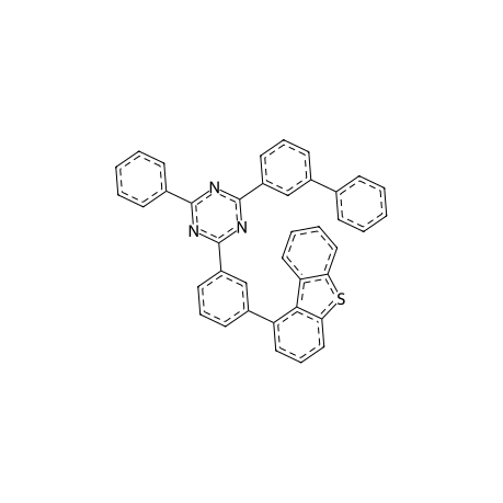 c1ccc(-c2cccc(-c3nc(-c4ccccc4)nc(-c4cccc(-c5cccc6sc7ccccc7c56)c4)n3)c2)cc1